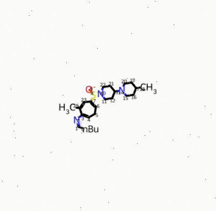 CCCC/C=N\C1=CCC=C([S+]([O-])N2CCC(N3CCC(C)CC3)CC2)C=C1C